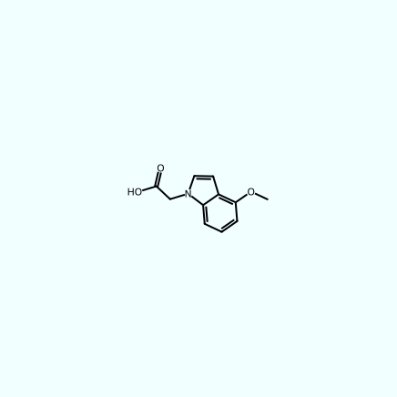 COc1cccc2c1ccn2CC(=O)O